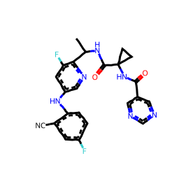 CC(NC(=O)C1(NC(=O)c2cncnc2)CC1)c1ncc(Nc2ccc(F)cc2C#N)cc1F